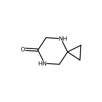 O=C1CNC2(CC2)CN1